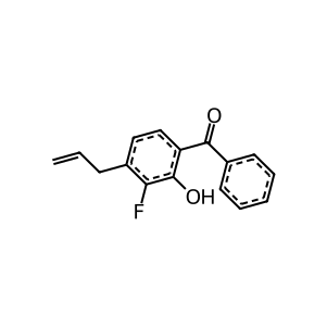 C=CCc1ccc(C(=O)c2ccccc2)c(O)c1F